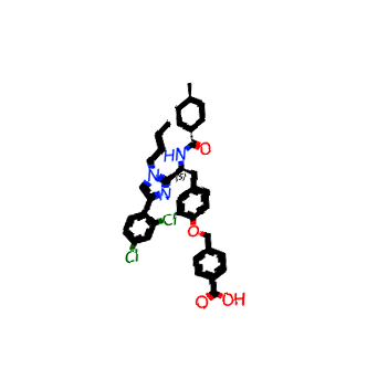 CCCCn1cc(-c2ccc(Cl)cc2Cl)nc1[C@H](Cc1ccc(OCc2ccc(C(=O)O)cc2)cc1)NC(=O)[C@H]1CC[C@H](C)CC1